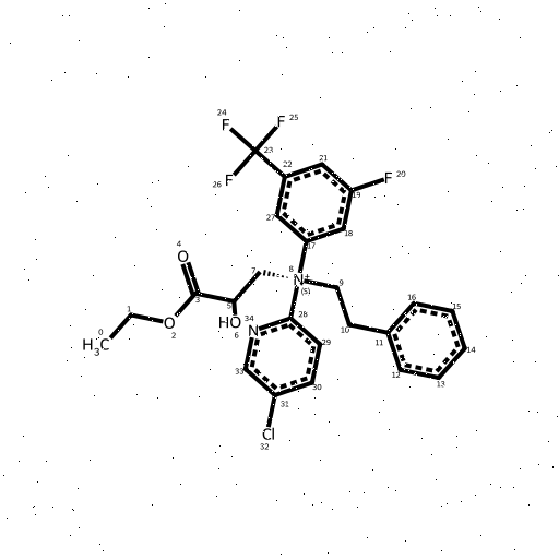 CCOC(=O)C(O)C[N@@+](CCc1ccccc1)(c1cc(F)cc(C(F)(F)F)c1)c1ccc(Cl)cn1